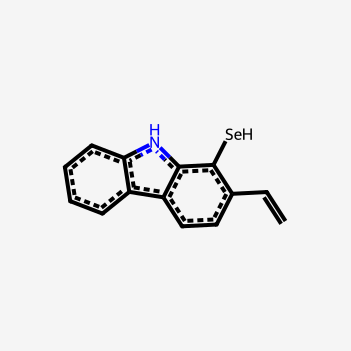 C=Cc1ccc2c([nH]c3ccccc32)c1[SeH]